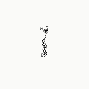 C=CC(=O)OCCCCCCOc1ccc(N=Nc2ccc(OCC)cc2)cc1